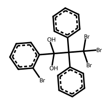 OC(O)(c1ccccc1Br)C(c1ccccc1)(c1ccccc1)C(Br)(Br)Br